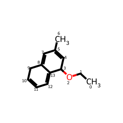 CCOC1C=C(C)C=C2CC=CC=C21